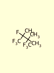 CC(C)(C(F)(F)F)C(C)(F)C(F)(F)F